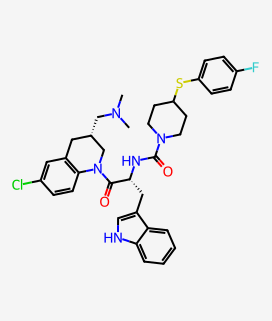 CN(C)C[C@H]1Cc2cc(Cl)ccc2N(C(=O)[C@@H](Cc2c[nH]c3ccccc23)NC(=O)N2CCC(Sc3ccc(F)cc3)CC2)C1